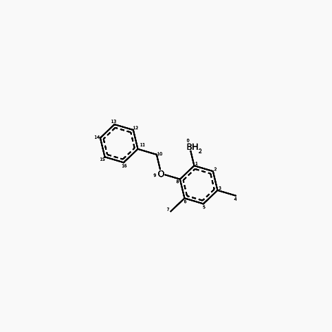 Bc1cc(C)cc(C)c1OCc1ccccc1